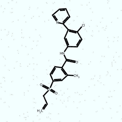 C=CCS(=O)(=O)c1ccc(C(=O)Nc2ccc(Cl)c(-c3ccccn3)c2)c(C)c1